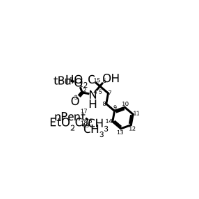 CC(C)(C)OC(=O)NC(O)(CCc1ccccc1)C(=O)O.CCCCCC.CCOC(C)=O